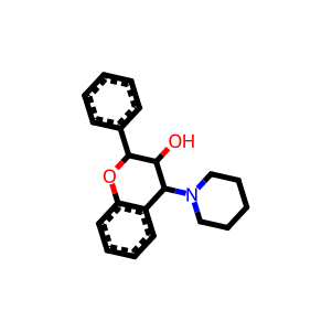 OC1C(c2ccccc2)Oc2ccccc2C1N1CCCCC1